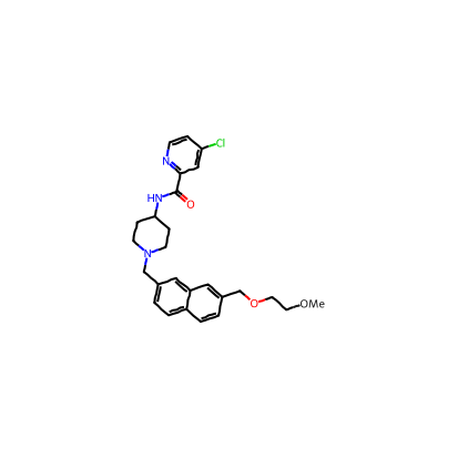 COCCOCc1ccc2ccc(CN3CCC(NC(=O)c4cc(Cl)ccn4)CC3)cc2c1